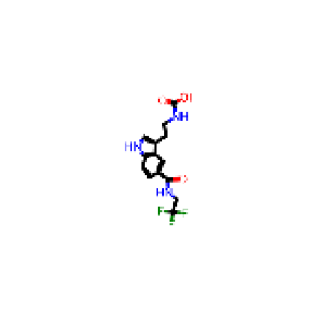 O=C(O)NCCc1c[nH]c2ccc(C(=O)NCC(F)(F)F)cc12